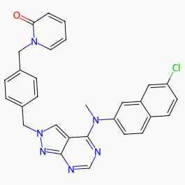 CN(c1ccc2ccc(Cl)cc2c1)c1ncnc2nn(Cc3ccc(Cn4ccccc4=O)cc3)cc12